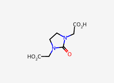 O=C(O)CN1CCN(CC(=O)O)C1=O